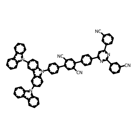 N#Cc1cccc(-c2cc(-c3ccc(-c4cc(C#N)c(-c5ccc(-n6c7ccc(-n8c9ccccc9c9ccccc98)cc7c7cc(-n8c9ccccc9c9ccccc98)ccc76)cc5)cc4C#N)cc3)nc(-c3cccc(C#N)c3)n2)c1